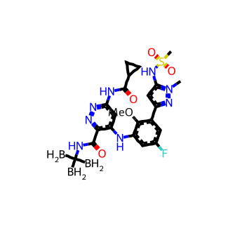 BC(B)(B)NC(=O)c1nnc(NC(=O)C2CC2)cc1Nc1cc(F)cc(-c2cc(NS(C)(=O)=O)n(C)n2)c1OC